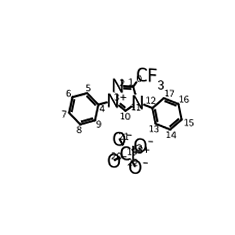 FC(F)(F)c1n[n+](-c2ccccc2)cn1-c1ccccc1.[O-][Cl+3]([O-])([O-])[O-]